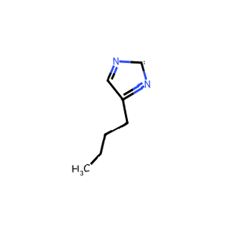 CCCCC1=N[C]N=C1